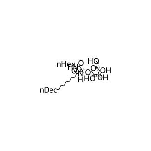 CCCCCCCCCCCCCCCCCC(=O)N[C@@H](COC1O[C@H](CO)[C@H](O)[C@H](O)[C@H]1O)C(=O)NCCCCCC